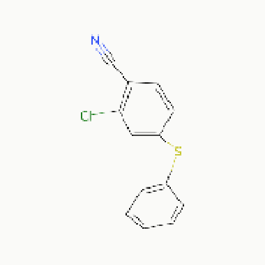 N#Cc1ccc(Sc2ccccc2)cc1Cl